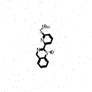 CC(C)(C)Sc1cccc(C2=NCc3ccccc3[S+]2[O-])n1